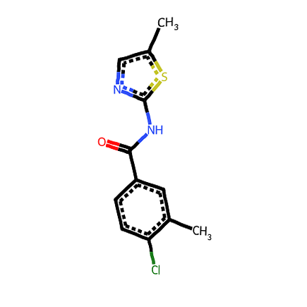 Cc1cnc(NC(=O)c2ccc(Cl)c(C)c2)s1